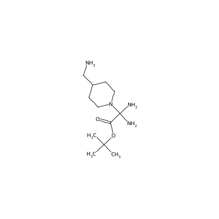 CC(C)(C)OC(=O)C(N)(N)N1CCC([CH]N)CC1